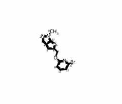 Cn1ncc2cc(COc3cccc(Br)n3)sc21